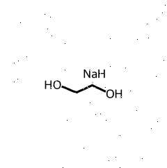 O[CH]CO.[NaH]